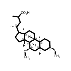 CC(C[C@@H](C)C1CC[C@H]2[C@@H]3[C@H](OP)C[C@@H]4C[C@H](OP)CC[C@]4(C)[C@H]3CC[C@]12C)C(=O)O